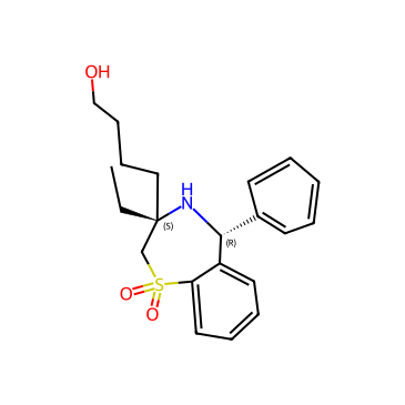 CC[C@]1(CCCCO)CS(=O)(=O)c2ccccc2[C@@H](c2ccccc2)N1